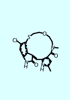 Cc1cc2c([nH]1)/C=C1\C(=O)Nc3cc(Cl)c(cc31)SCCOCCN(C)C2=O